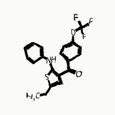 CCc1cc(C(=O)c2ccc(OC(F)(F)F)cc2)c(Nc2ccccc2)s1